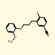 COc1ccccc1OCCCc1cc(C#N)ccc1I